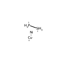 [Cu].[Ni].[SiH3]P